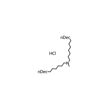 CCCCCCCCCCCCCCCCCN(C)CCCCCCCCCCCCCCCC.Cl